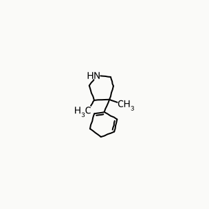 CC1CNCCC1(C)C1=CCCC=C1